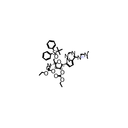 CCOC(=O)O[C@H]1[C@H](c2ccc3c(/N=C/N(C)C)ncnn23)O[C@](C#N)(CO[Si](c2ccccc2)(c2ccccc2)C(C)(C)C)[C@H]1OC(=O)OCC